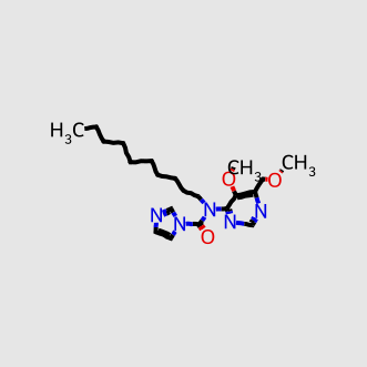 CCCCCCCCCCN(C(=O)n1ccnc1)c1ncnc(COC)c1OC